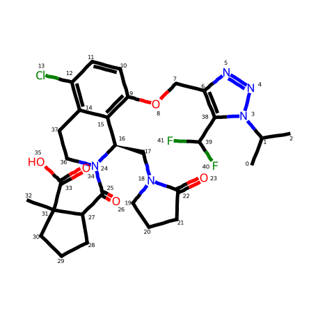 CC(C)n1nnc(COc2ccc(Cl)c3c2[C@@H](CN2CCCC2=O)N(C(=O)C2CCCC2(C)C(=O)O)CC3)c1C(F)F